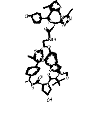 Cc1ncsc1-c1ccc([C@H](C)NC(=O)[C@@H]2C[C@@H](O)CN2C(=O)[C@@H](N(C=O)c2cc3cc(O[C@H](C)CNC(=O)C[C@@H]4N=C(c5ccc(Cl)cc5)c5c(sc(C)c5C)-n5c(C)nnc54)ccc3o2)C(C)(C)C)cc1